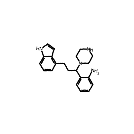 Nc1ccccc1C(CCc1cccc2[nH]ccc12)N1CCNCC1